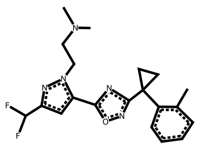 Cc1ccccc1C1(c2noc(-c3cc(C(F)F)nn3CCN(C)C)n2)CC1